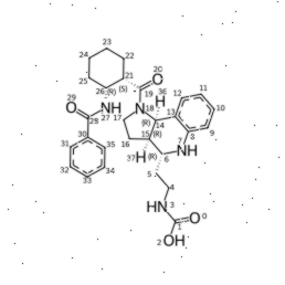 O=C(O)NCC[C@H]1Nc2ccccc2[C@H]2[C@@H]1CCN2C(=O)[C@H]1CCCC[C@H]1NC(=O)c1ccccc1